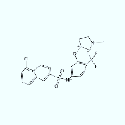 CN1CC[C@@H](Oc2cc(NS(=O)(=O)c3ccc4c(Cl)cccc4c3)ccc2C(F)(F)F)C1